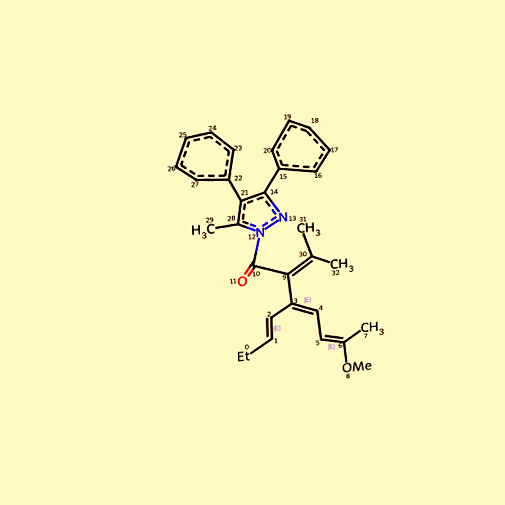 CC/C=C/C(=C\C=C(/C)OC)C(C(=O)n1nc(-c2ccccc2)c(-c2ccccc2)c1C)=C(C)C